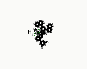 CC[SiH2][Zr]([Cl])([Cl])([CH]1C(C(C)C)=Cc2c(-c3cc(C)cc(C)c3)cccc21)[CH]1C(C)=Cc2c(-c3cccc4ccccc34)cc(-c3cccc4ccccc34)cc21